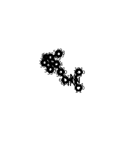 C1=CCCC(C2=NC(C3=CCCC=C3)=NC(C3=CC(c4ccc(-c5ccc6c(c5)C5(c7ccccc7-c7ccccc75)c5c-6c(-c6ccccc6)cc6ccccc56)cc4)CCC3)N2)=C1